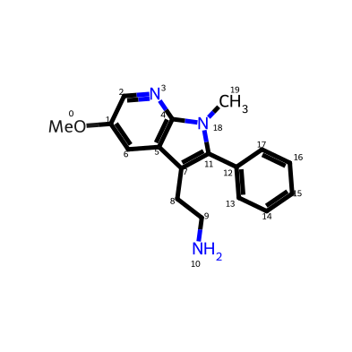 COc1cnc2c(c1)c(CCN)c(-c1ccccc1)n2C